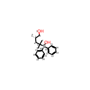 C[C@H](CO)CC(C)(C)[Si](O)(c1ccccc1)c1ccccc1